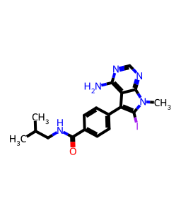 CC(C)CNC(=O)c1ccc(-c2c(I)n(C)c3ncnc(N)c23)cc1